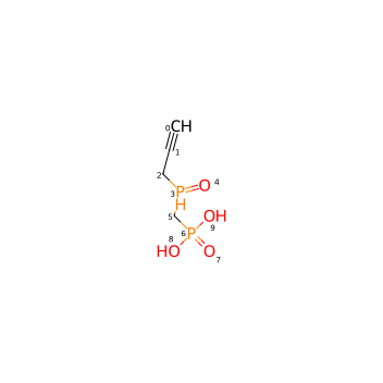 C#CC[PH](=O)CP(=O)(O)O